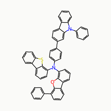 c1ccc(-c2cccc3c2oc2c(N(c4ccc(-c5ccc6c7ccccc7n(-c7ccccc7)c6c5)cc4)c4cccc5c4sc4ccccc45)cccc23)cc1